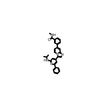 CNC(=O)c1cccc(-c2ccn3c(-c4cc(NC(C)C)nc(-c5ccccc5)c4)cnc3c2)c1